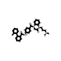 Cc1ccccc1-c1ccccc1C(=O)Nc1ccc(C(=O)N2CC(=O)N(CCCN(C)C)c3ccccc32)cc1